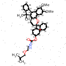 C=C(C)COCCNC(=O)Oc1ccc(C2(c3ccccc3)C=Cc3c4c(c5cc(OC)c(OC)cc5c3O2)-c2ccccc2C4(C)C)cc1